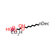 CCCCCCCCCCCCCCCCCCOC(O)CCOP(=O)(O)C(=O)O